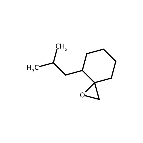 CC(C)CC1CCCCC12CO2